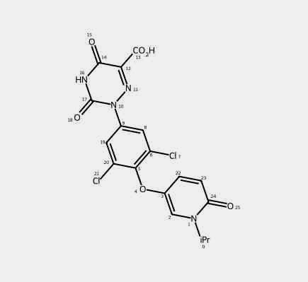 CC(C)n1cc(Oc2c(Cl)cc(-n3nc(C(=O)O)c(=O)[nH]c3=O)cc2Cl)ccc1=O